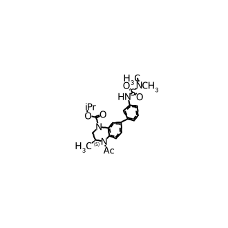 CC(=O)N1c2ccc(-c3cccc(NS(=O)(=O)N(C)C)c3)cc2N(C(=O)OC(C)C)C[C@@H]1C